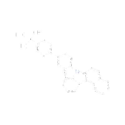 CC(C)(C)c1ccc(-c2ccc3c(c2)c2cccc4c5c6ccccc6ccc5n3c24)cc1